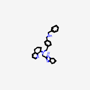 c1ccc(CNCc2ccc(CN(Cc3nc4ccccc4[nH]3)C3CCCc4cccnc43)cc2)cc1